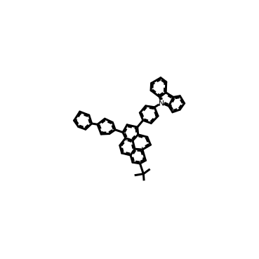 CC(C)(C)c1cc2ccc3c(-c4ccc(-c5ccccc5)cc4)cc(-c4ccc(-n5c6ccccc6c6ccccc65)cc4)c4ccc(c1)c2c34